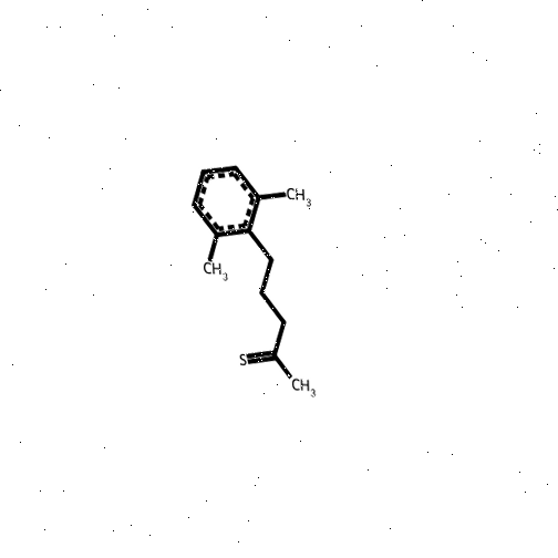 CC(=S)CCCc1c(C)cccc1C